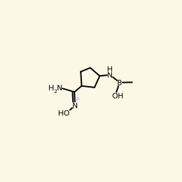 CB(O)NC1CCC(/C(N)=N/O)C1